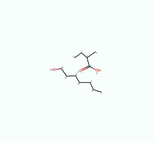 CCC(C)C(=O)O.CCCCCCC[O]